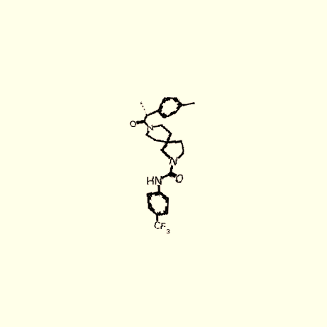 Cc1ccc([C@@H](C)C(=O)N2CCC3(CCN(C(=O)Nc4ccc(C(F)(F)F)cc4)C3)CC2)cc1